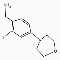 NCc1ccc(N2CCOCC2)cc1F